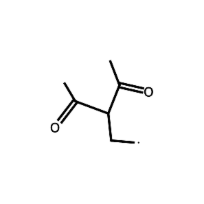 [CH2]CC(C(C)=O)C(C)=O